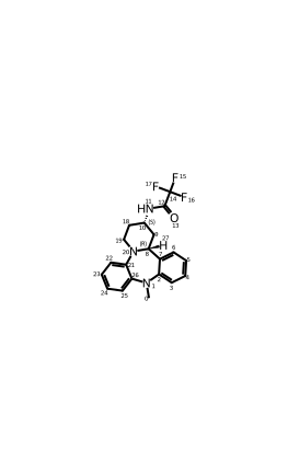 CN1c2ccccc2[C@H]2C[C@@H](NC(=O)C(F)(F)F)CCN2c2ccccc21